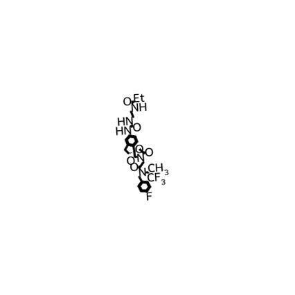 CCC(=O)NCCNC(=O)Nc1ccc2c(c1)CC[C@@]21OC(=O)N(CC(=O)N(Cc2ccc(F)cc2)[C@@H](C)C(F)(F)F)C1=O